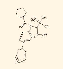 CC(C)(C)N(C(=O)O)C(C)(C(=O)N1CCCC1)c1ccc(-c2ccccc2)cc1